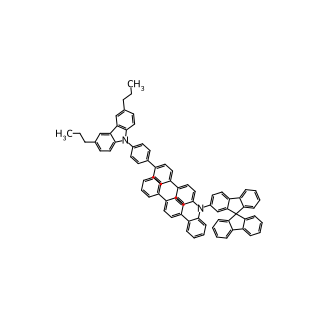 CCCc1ccc2c(c1)c1cc(CCC)ccc1n2-c1ccc(-c2ccc(-c3ccc(N(c4ccc5c(c4)C4(c6ccccc6-c6ccccc64)c4ccccc4-5)c4ccccc4-c4ccc(-c5ccccc5)cc4)cc3)cc2)cc1